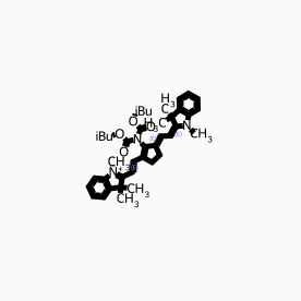 CCC(C)OC(=O)N(C(=O)OC(C)CC)C1=C(/C=C/C2=[N+](C)c3ccccc3C2(C)C)CC/C1=C\C=C1\N(C)c2ccccc2C1(C)C